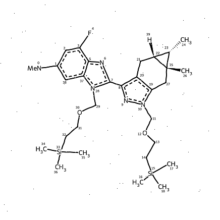 CNc1cc(F)c2nc(-c3nn(COCC[Si](C)(C)C)c4c3C[C@@H]3[C@H](C)[C@]3(C)C4)n(COCC[Si](C)(C)C)c2c1